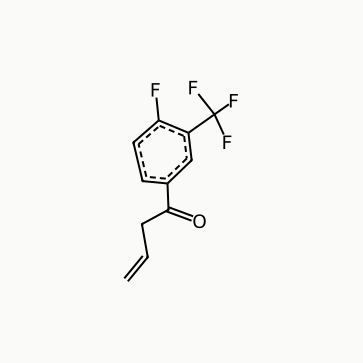 C=CCC(=O)c1ccc(F)c(C(F)(F)F)c1